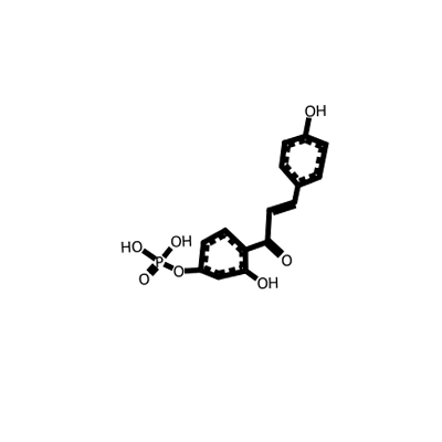 O=C(/C=C/c1ccc(O)cc1)c1ccc(OP(=O)(O)O)cc1O